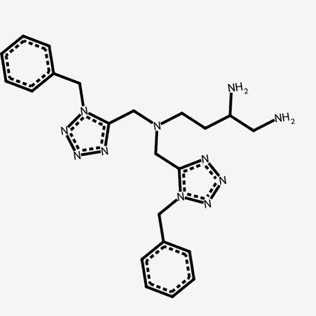 NCC(N)CCN(Cc1nnnn1Cc1ccccc1)Cc1nnnn1Cc1ccccc1